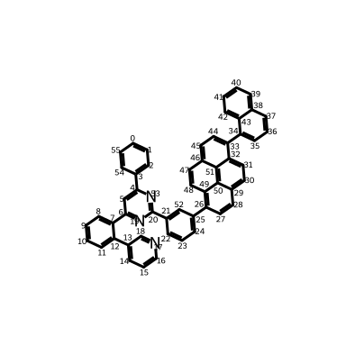 c1ccc(-c2cc(-c3ccccc3-c3cccnc3)nc(-c3cccc(-c4ccc5ccc6c(-c7cccc8ccccc78)ccc7ccc4c5c76)c3)n2)cc1